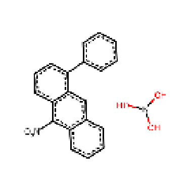 O=[N+]([O-])c1c2ccccc2cc2c(-c3ccccc3)cccc12.OB(O)O